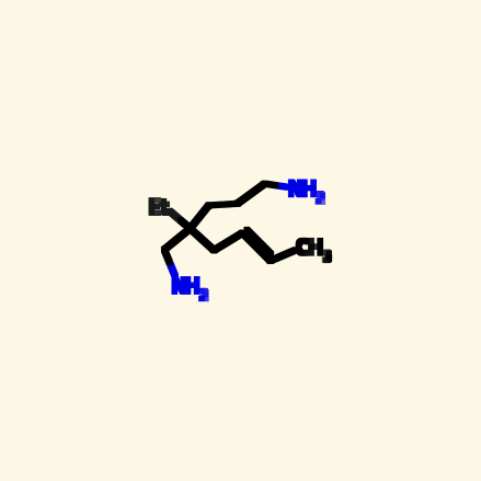 CC=CCC(CC)(CN)CCCN